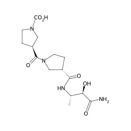 C[C@H](NC(=O)[C@H]1CCN(C(=O)[C@H]2CCN(C(=O)O)C2)C1)[C@@H](O)C(N)=O